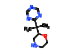 CC(C)(c1ncncn1)C1CNCCO1